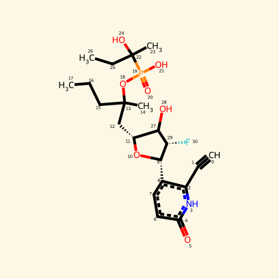 C#Cc1[nH]c(=O)ccc1[C@@H]1O[C@H](CC(C)(CCC)OP(=O)(O)C(C)(O)CC)C(O)[C@@H]1F